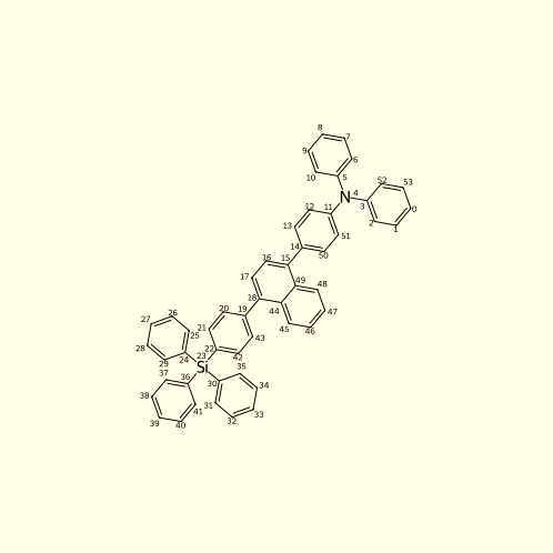 c1ccc(N(c2ccccc2)c2ccc(-c3ccc(-c4ccc([Si](c5ccccc5)(c5ccccc5)c5ccccc5)cc4)c4ccccc34)cc2)cc1